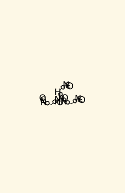 O=C=Nc1ccc(Cc2ccc(NC(=O)N(C(=O)Nc3ccc(Cc4ccc(N=C=O)cc4)cc3)c3ccc(Cc4ccc(N=C=O)cc4)cc3)cc2)cc1